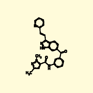 Cc1cc(C(=O)Nc2cccc(C(=O)c3ccc4c(/C=C/c5ccccn5)n[nH]c4c3)c2)n(C)n1